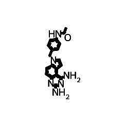 CC(=O)Nc1ccc(Cn2ccc3c4c(N)nc(N)nc4ccc32)cc1